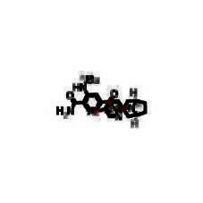 CC[C@H](C)Nc1cc(C(=O)N[C@H]2C[C@H]3CC[C@@H](C2)N3c2ccc(C(C)=O)cn2)ccc1C(N)=O